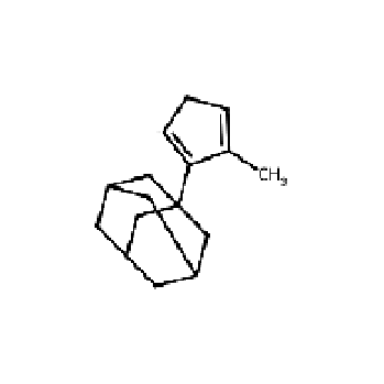 CC1=CC[C]=C1C12CC3CC(CC(C3)C1)C2